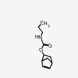 CCCNC(=O)OC1CC2C=CC1C2